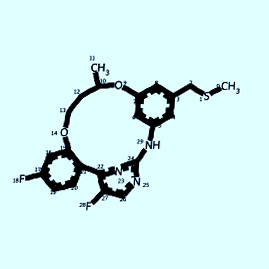 CSCc1cc2cc(c1)OC(C)CCOc1cc(F)ccc1-c1nc(ncc1F)N2